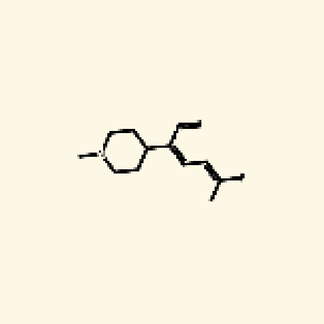 C=C/C(=C\C=C(/C)F)C1CCN(C)CC1